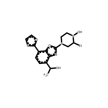 CCC1CN(c2nc3c(C(O)C(F)(F)F)ccc(-c4nccs4)c3o2)CCN1O